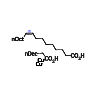 CCCCCCCC/C=C\CCCCCCCC(=O)O.CCCCCCCCCCCC(=O)O.[Cu].[Cu]